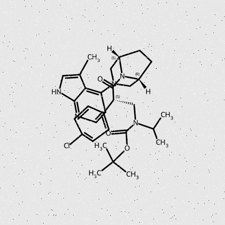 Cc1c[nH]c2nccc(N3C[C@H]4CC[C@@H](C3)N4C(=O)[C@H](CN(C(=O)OC(C)(C)C)C(C)C)c3ccc(Cl)cc3)c12